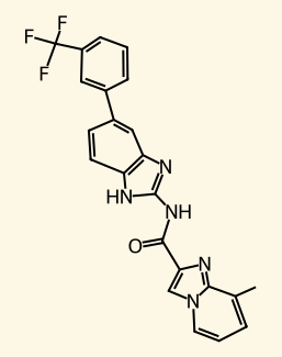 Cc1cccn2cc(C(=O)Nc3nc4cc(-c5cccc(C(F)(F)F)c5)ccc4[nH]3)nc12